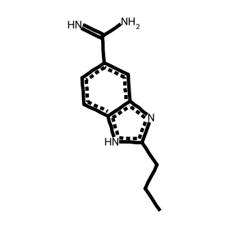 CCCc1nc2cc(C(=N)N)ccc2[nH]1